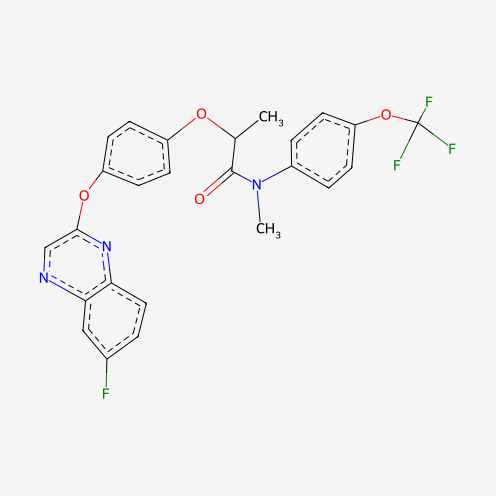 CC(Oc1ccc(Oc2cnc3cc(F)ccc3n2)cc1)C(=O)N(C)c1ccc(OC(F)(F)F)cc1